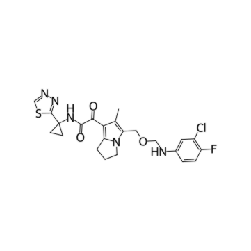 Cc1c(C(=O)C(=O)NC2(c3nncs3)CC2)c2n(c1COCNc1ccc(F)c(Cl)c1)CCC2